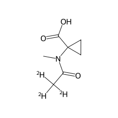 [2H]C([2H])([2H])C(=O)N(C)C1(C(=O)O)CC1